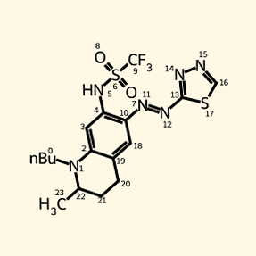 CCCCN1c2cc(NS(=O)(=O)C(F)(F)F)c(N=Nc3nncs3)cc2CCC1C